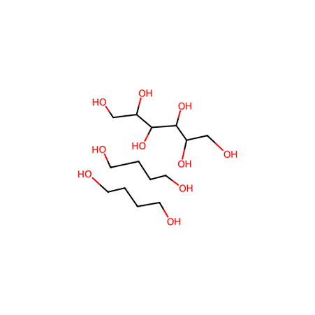 OCC(O)C(O)C(O)C(O)CO.OCCCCO.OCCCCO